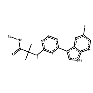 CCNC(=O)C(C)(C)Nc1ncnc(-c2c[nH]c3ncc(F)cc23)n1